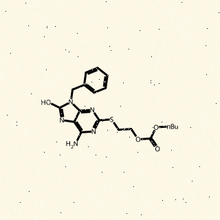 CCCCOC(=O)OCCSc1nc(N)c2nc(O)n(Cc3ccccc3)c2n1